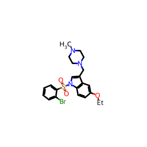 CCOc1ccc2c(c1)c(CN1CCN(C)CC1)cn2S(=O)(=O)c1ccccc1Br